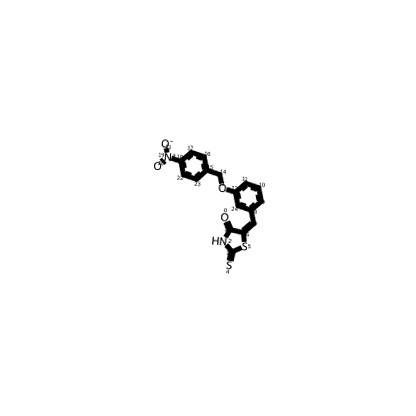 O=C1NC(=S)S/C1=C/c1cccc(OCc2ccc([N+](=O)[O-])cc2)c1